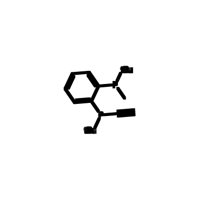 C#CP(c1ccccc1P(C)C(C)(C)C)C(C)(C)C